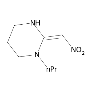 CCCN1CCCN/C1=C/[N+](=O)[O-]